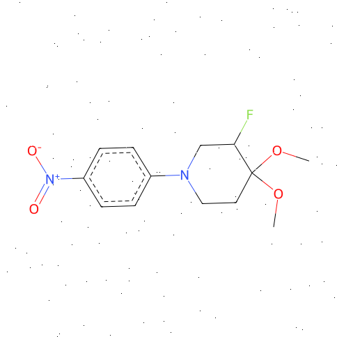 COC1(OC)CCN(c2ccc([N+](=O)[O-])cc2)CC1F